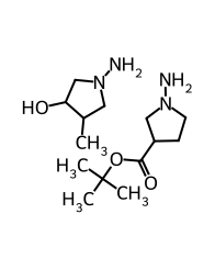 CC(C)(C)OC(=O)C1CCN(N)C1.CC1CN(N)CC1O